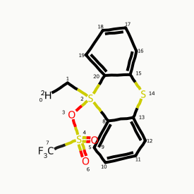 [2H]CS1(OS(=O)(=O)C(F)(F)F)c2ccccc2Sc2ccccc21